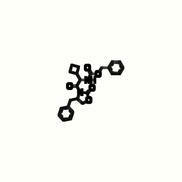 O=C(NC(C(=O)N1C(=O)OCC1Cc1ccccc1)C1CCC1)OCc1ccccc1